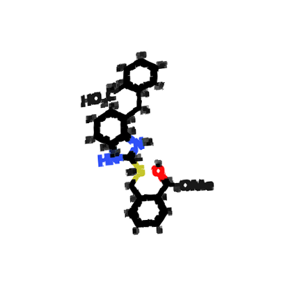 COC(=O)c1ccccc1CSc1nc2c(Cc3ccccc3C(=O)O)cccc2[nH]1